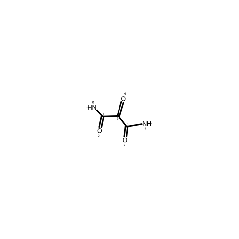 [NH]C(=O)C(=O)C([NH])=O